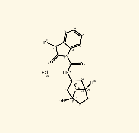 CC(C)n1c(=O)n(C(=O)NC2C[C@H]3CC[C@@H](C2)N3C)c2ccccc21.Cl